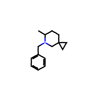 CC1CCC2(CC2)CN1Cc1ccccc1